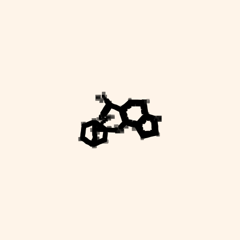 NC(=O)c1cnc2[nH]ccc2c1N[C@H]1CC2CCC1CC2